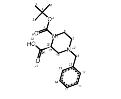 CC(C)(C)OC(=O)N1CCN(Cc2ccccc2)C[C@H]1C(=O)O